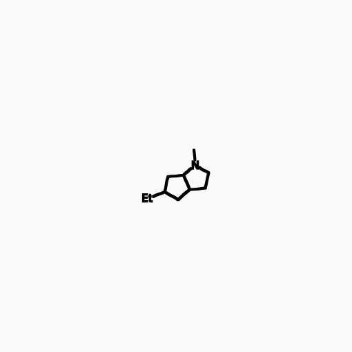 CCC1CC2CCN(C)C2C1